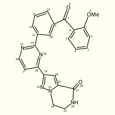 COc1ccccc1C(=O)c1cccc(-c2nccc(-c3cc4n(n3)CCNC4=O)n2)c1